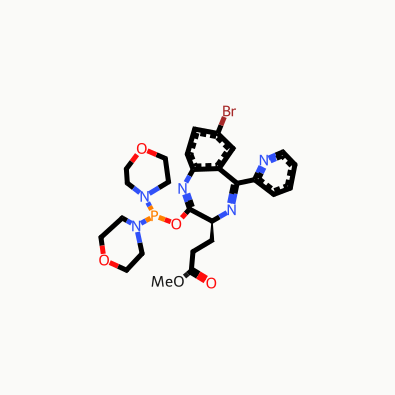 COC(=O)CC[C@@H]1N=C(c2ccccn2)c2cc(Br)ccc2N=C1OP(N1CCOCC1)N1CCOCC1